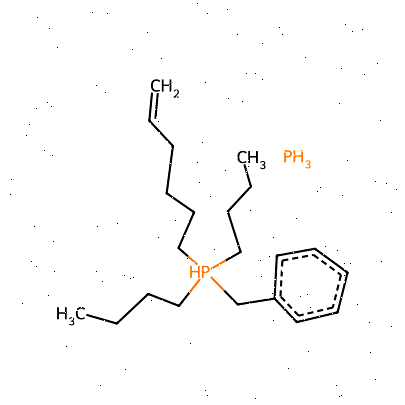 C=CCCCC[PH](CCCC)(CCCC)Cc1ccccc1.P